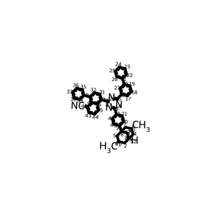 C[C@@H]1C[C@@H]2C[C@H](C)CC(c3ccc(-c4nc(-c5cccc(-c6ccccc6)c5)nc(-c5ccc(-c6ccccc6)c6c(C#N)cccc56)n4)cc3)(C1)C2